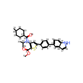 COC(=O)c1sc(-c2ccc(-c3ccc4[nH]ccc4c3)cc2)cc1N(C(=O)C1CCC(C)CC1)C(C)C